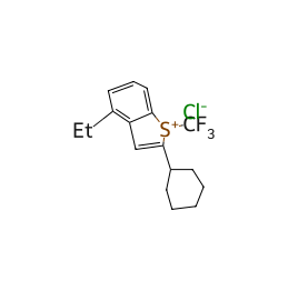 CCc1cccc2c1cc(C1CCCCC1)[s+]2C(F)(F)F.[Cl-]